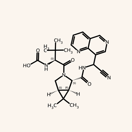 CC(C)(C)[C@H](NC(=O)O)C(=O)N1C[C@H]2[C@@H]([C@H]1C(=O)NC(C#N)c1cncc3cccnc13)C2(C)C